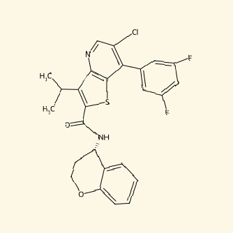 CC(C)c1c(C(=O)N[C@H]2CCOc3ccccc32)sc2c(-c3cc(F)cc(F)c3)c(Cl)cnc12